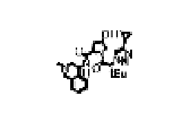 CN1Cc2ccccc2C(NC(=O)C2CC(O)CN2C(=O)[C@@H](n2cc(C3CC3)nn2)C(C)(C)C)C1